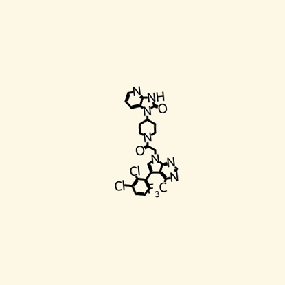 O=C(Cn1cc(-c2cccc(Cl)c2Cl)c2c(C(F)(F)F)ncnc21)N1CCC(n2c(=O)[nH]c3ncccc32)CC1